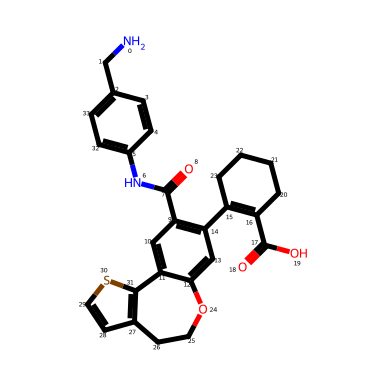 NCc1ccc(NC(=O)c2cc3c(cc2C2=C(C(=O)O)CCCC2)OCCc2ccsc2-3)cc1